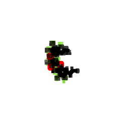 CCCc1cc(OC(F)(F)C(=O)C(F)(F)Oc2cc(CCC)c(F)c(F)c2F)c(F)c(F)c1F